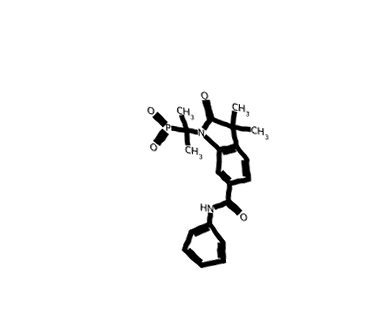 CC1(C)C(=O)N(C(C)(C)P(=O)=O)c2cc(C(=O)Nc3ccccc3)ccc21